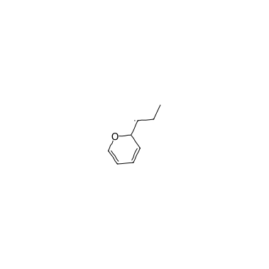 CC[CH]C1C=CC=CO1